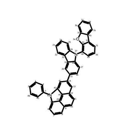 c1ccc(-n2c3cccc4ccc5cc(-c6ccc7c(c6)c6ccccc6n7-c6cccc7c6oc6ccccc67)cc2c5c43)cc1